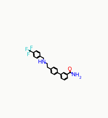 NC(=O)c1cccc(-c2ccc(CCNCc3ccc(C(F)(F)F)cc3)cc2)c1